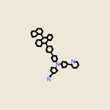 N#Cc1ccc(N(c2ccc(-c3ccc(-c4c5ccccc5c(-c5cccc6ccccc56)c5ccccc45)cc3)cc2)c2ccc(-c3ccccn3)cc2)cc1